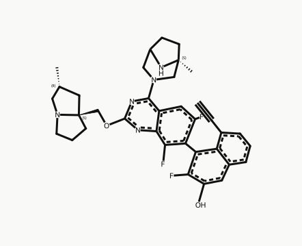 C#Cc1cccc2cc(O)c(F)c(-c3c(F)cc4c(N5CC6CC[C@@](C)(C5)N6)nc(OC[C@@]56CCCN5C[C@H](C)C6)nc4c3F)c12